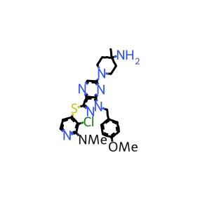 CNc1nccc(Sc2nn(Cc3ccc(OC)cc3)c3nc(N4CCC(C)(N)CC4)cnc23)c1Cl